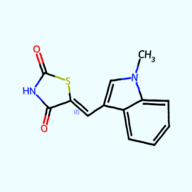 Cn1cc(/C=C2\SC(=O)NC2=O)c2ccccc21